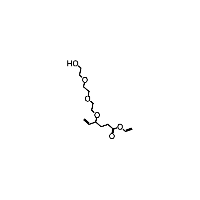 C=COC(=O)CCC(C=C)OCCOCCOCCO